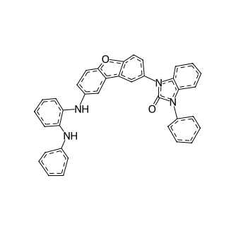 O=c1n(-c2ccccc2)c2ccccc2n1-c1ccc2oc3ccc(Nc4ccccc4Nc4ccccc4)cc3c2c1